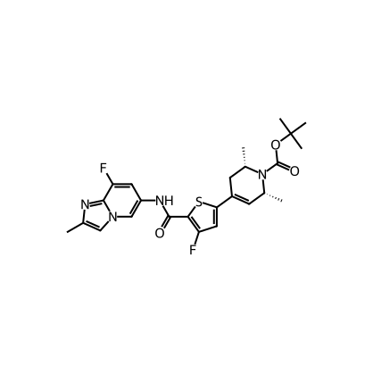 Cc1cn2cc(NC(=O)c3sc(C4=C[C@@H](C)N(C(=O)OC(C)(C)C)[C@@H](C)C4)cc3F)cc(F)c2n1